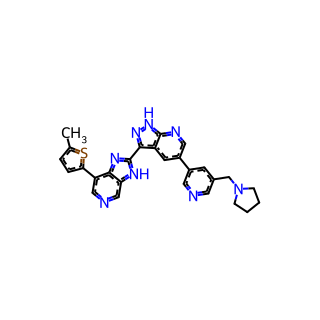 Cc1ccc(-c2cncc3[nH]c(-c4n[nH]c5ncc(-c6cncc(CN7CCCC7)c6)cc45)nc23)s1